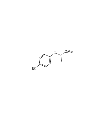 [CH2]Cc1ccc(OC(C)OC)cc1